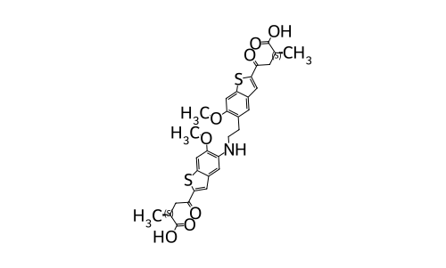 COc1cc2sc(C(=O)C[C@H](C)C(=O)O)cc2cc1CCNc1cc2cc(C(=O)C[C@H](C)C(=O)O)sc2cc1OC